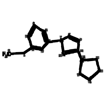 FC(F)(F)Cc1cccc(-n2ccc(N3CCCC3)n2)c1